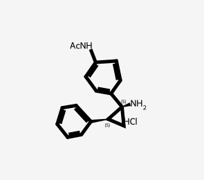 CC(=O)Nc1ccc([C@]2(N)C[C@H]2c2ccccc2)cc1.Cl